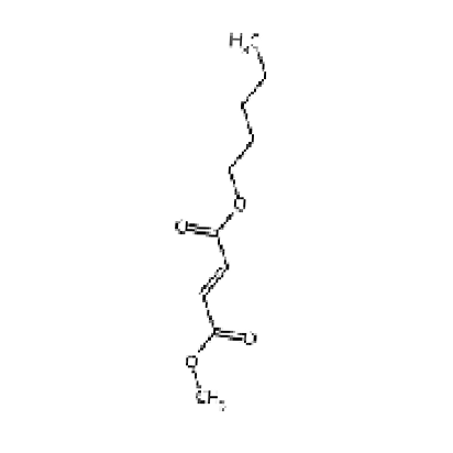 CCCCCOC(=O)C=CC(=O)OC